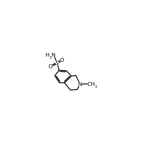 CN1CCc2ccc(S(N)(=O)=O)cc2C1